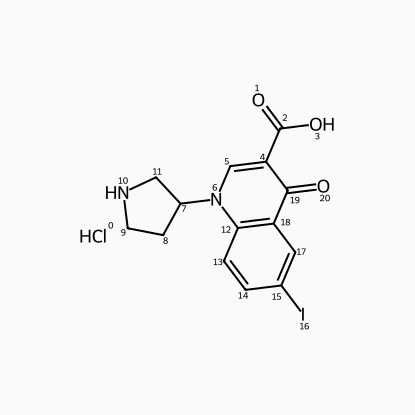 Cl.O=C(O)c1cn(C2CCNC2)c2ccc(I)cc2c1=O